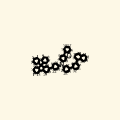 c1ccc(C2(c3ccccc3)c3ccccc3-c3ccc(-c4ccc(N(c5cccc(-c6cccc(-c7cccc8ccccc78)c6)c5)c5ccc6c(c5)oc5ccccc56)cc4)cc32)cc1